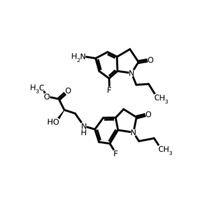 CCCN1C(=O)Cc2cc(N)cc(F)c21.CCCN1C(=O)Cc2cc(NC[C@@H](O)C(=O)OC)cc(F)c21